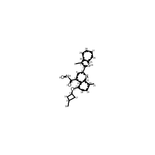 Cc1c(-c2cc(C(=O)N=O)c3c(OC4CC(C)C4)ccc(C)c3n2)sc2ccccc12